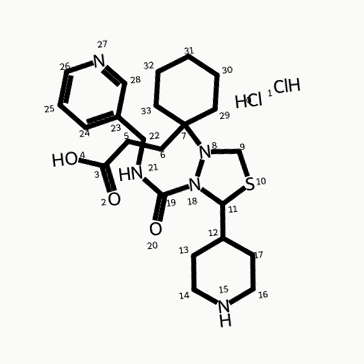 Cl.Cl.O=C(O)CCC1(N2CSC(C3CCNCC3)N2C(=O)NCc2cccnc2)CCCCC1